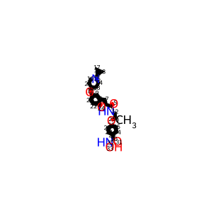 CC(CNC(=O)c1cc2cc(OC3CCN(C4CC4)CC3)ccc2o1)Oc1ccc(C(=O)NO)cc1